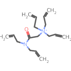 C=CCN(CC=C)C(=O)C[N+](CC=C)(CC=C)CC=C